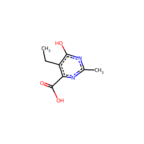 CCc1c(O)nc(C)nc1C(=O)O